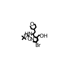 CC(C)(C)OC(=O)NC(CC1CCOCC1)c1ncc(Br)cc1CO